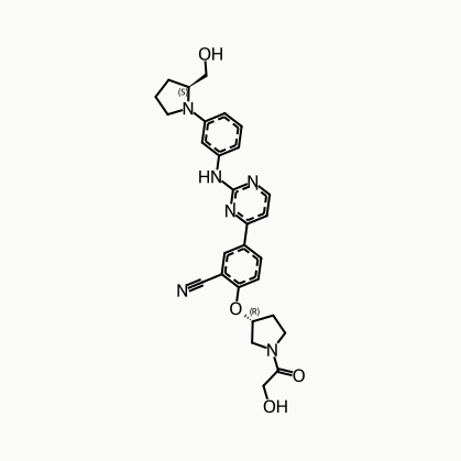 N#Cc1cc(-c2ccnc(Nc3cccc(N4CCC[C@H]4CO)c3)n2)ccc1O[C@@H]1CCN(C(=O)CO)C1